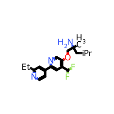 CCc1cc(-c2cc(C(F)F)c(OCC(C)(N)CC(C)C)cn2)ccn1